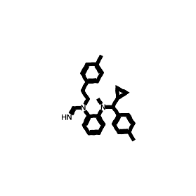 Cc1ccc(CCN(C=N)c2ccccc2N(C)C(c2ccc(C)cc2)C2CC2)cc1